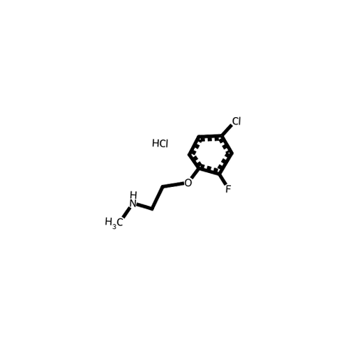 CNCCOc1ccc(Cl)cc1F.Cl